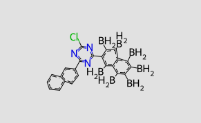 Bc1c(B)c(B)c2c(B)c(-c3nc(Cl)nc(-c4ccc5ccccc5c4)n3)c(B)c(B)c2c1B